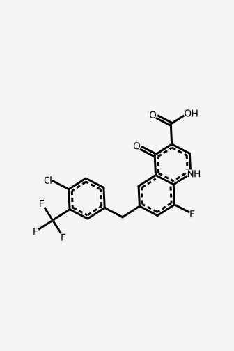 O=C(O)c1c[nH]c2c(F)cc(Cc3ccc(Cl)c(C(F)(F)F)c3)cc2c1=O